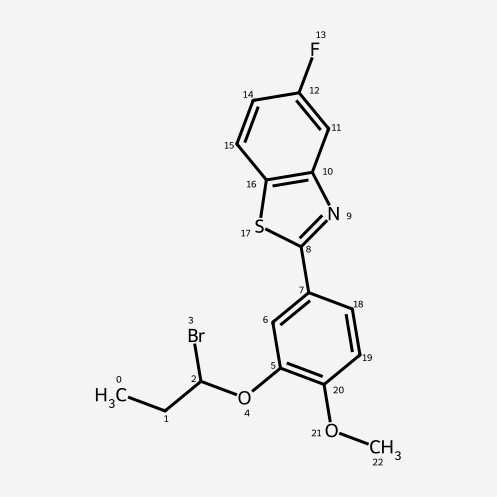 CCC(Br)Oc1cc(-c2nc3cc(F)ccc3s2)ccc1OC